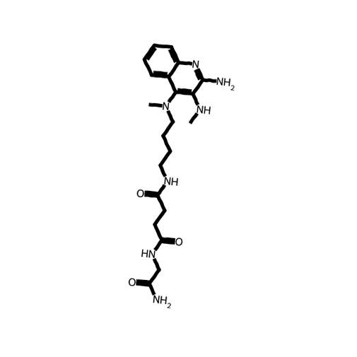 CNc1c(N)nc2ccccc2c1N(C)CCCCNC(=O)CCC(=O)NCC(N)=O